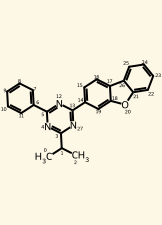 CC(C)c1nc(-c2ccccc2)nc(-c2ccc3c(c2)oc2ccccc23)n1